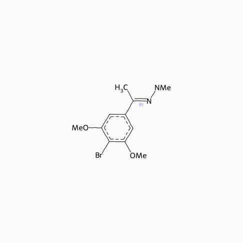 CN/N=C(\C)c1cc(OC)c(Br)c(OC)c1